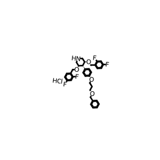 Cl.Fc1ccc(CO[C@H]2CNC[C@@H](OCc3ccc(F)cc3F)[C@H]2c2ccc(OCCCOCc3ccccc3)cc2)c(F)c1